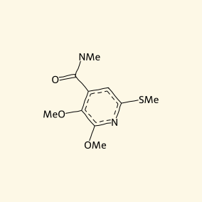 CNC(=O)c1cc(SC)nc(OC)c1OC